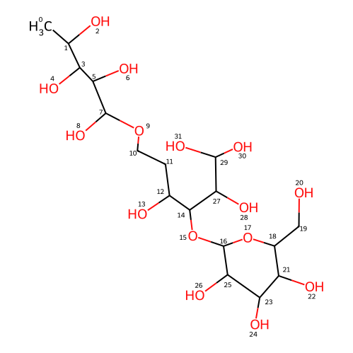 CC(O)C(O)C(O)C(O)OCCC(O)C(OC1OC(CO)C(O)C(O)C1O)C(O)C(O)O